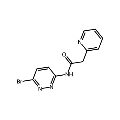 O=C(Cc1ccccn1)Nc1ccc(Br)nn1